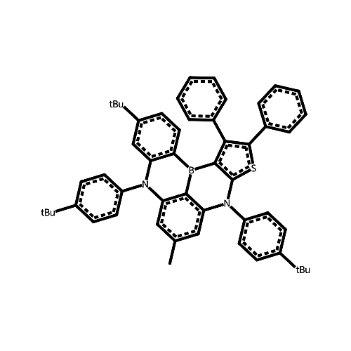 Cc1cc2c3c(c1)N(c1ccc(C(C)(C)C)cc1)c1sc(-c4ccccc4)c(-c4ccccc4)c1B3c1ccc(C(C)(C)C)cc1N2c1ccc(C(C)(C)C)cc1